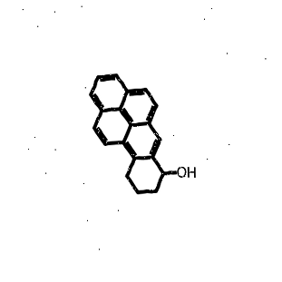 OC1CCCc2c1cc1ccc3cccc4ccc2c1c34